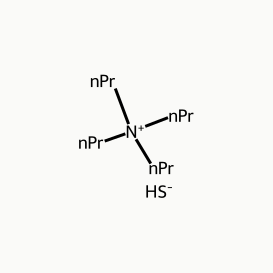 CCC[N+](CCC)(CCC)CCC.[SH-]